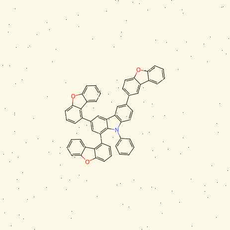 c1ccc(-n2c3ccc(-c4ccc5oc6ccccc6c5c4)cc3c3cc(-c4cccc5oc6ccccc6c45)cc(-c4cccc5oc6ccccc6c45)c32)cc1